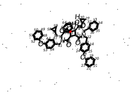 O=C(O)C1C(C(=O)O)C(C(=O)N(Cc2ccc(Oc3ccccc3)cc2)[C@H](CC2CC2)c2ccccc2)C1C(=O)N(Cc1ccc(Oc2ccccc2)cc1)[C@H](CC1CC1)c1ccccc1